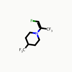 F/C=C(\N1CCC(C(F)(F)F)CC1)C(F)(F)F